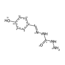 NNC(=O)NN=Cc1ccc(O)cc1